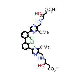 COc1nc(-c2cccc(-c3cccc(-c4cnc(CNC[C@@H](O)CC(=O)O)c(OC)n4)c3Cl)c2Cl)cnc1CNC[C@@H](O)CC(=O)O